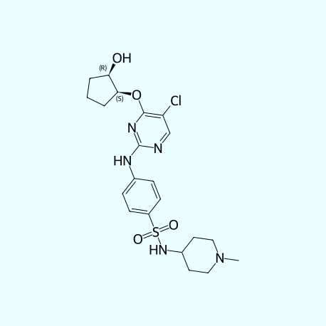 CN1CCC(NS(=O)(=O)c2ccc(Nc3ncc(Cl)c(O[C@H]4CCC[C@H]4O)n3)cc2)CC1